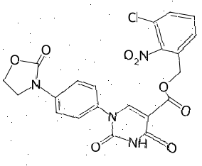 O=C(OCc1cccc(Cl)c1[N+](=O)[O-])c1cn(-c2ccc(N3CCOC3=O)cc2)c(=O)[nH]c1=O